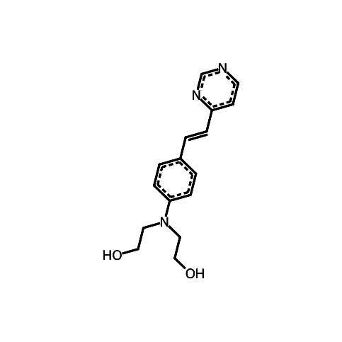 OCCN(CCO)c1ccc(C=Cc2ccncn2)cc1